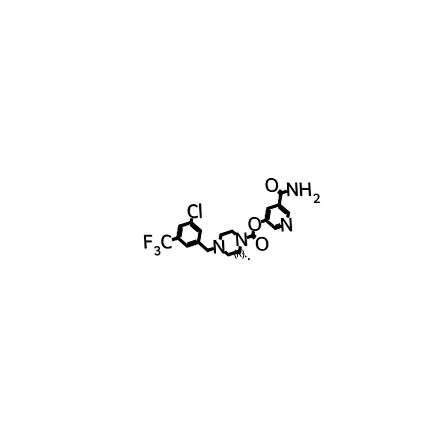 C[C@@H]1CN(Cc2cc(Cl)cc(C(F)(F)F)c2)CCN1C(=O)Oc1cncc(C(N)=O)c1